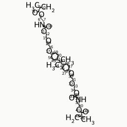 C=C(C)C(=O)OCCNC(=O)OCCOCCOc1ccc(C(C)(C)c2ccc(OCCOCCOC(=O)NCCOC(=O)C(=C)C)cc2)cc1